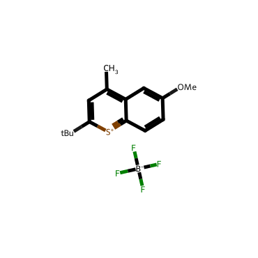 COc1ccc2[s+]c(C(C)(C)C)cc(C)c2c1.F[B-](F)(F)F